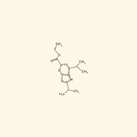 CCOC(=O)c1cc(C(C)C)n2nc(C(C)C)cc2n1